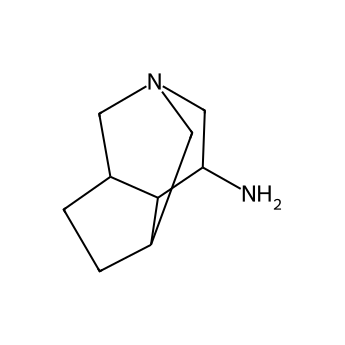 NC1CN2CC3CCC(C2)C13